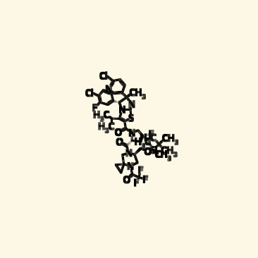 CC(C)C1=C(C(=O)N2C[C@H](F)C[C@@H]2C(=O)N2CC3(CC3)N(C(=O)C(F)(F)F)C[C@@H]2CO[Si](C)(C)C(C)(C)C)SC2=N[C@@](C)(c3ccc(Cl)nc3)[C@@H](c3ccc(Cl)c(F)c3)N21